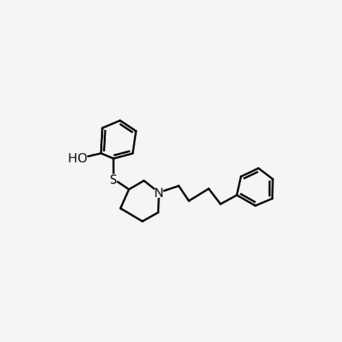 Oc1ccccc1SC1CCCN(CCCCc2ccccc2)C1